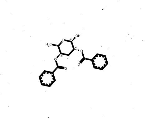 CC1O[C@@H](O)[C@H](OC(=O)c2ccccc2)C[C@H]1OC(=O)c1ccccc1